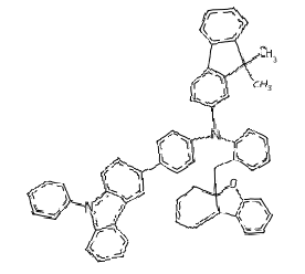 CC1(C)c2ccccc2-c2ccc(N(c3ccc(-c4ccc5c(c4)c4ccccc4n5-c4ccccc4)cc3)c3ccccc3CC34CC=CC=C3c3ccccc3O4)cc21